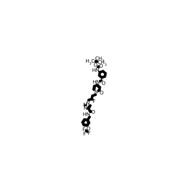 CC(C)(C)OC(=O)N[C@@H]1CCC[C@@H](C(=O)Nc2ccn(CCC(F)Cn3cc(C(=O)NCc4cccc(OC(F)(F)F)c4)nn3)c(=O)c2)C1